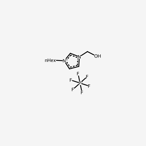 CCCCCC[n+]1ccn(CO)c1.F[P-](F)(F)(F)(F)F